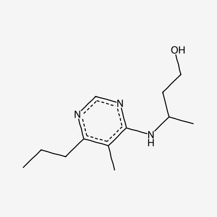 CCCc1ncnc(NC(C)CCO)c1C